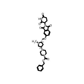 CN1C[C@H](N2CCN(C(=O)OCc3ccccc3)CC2)C[C@H]1COc1ccc2c(c1)C(=O)N(C1CCC(=O)NC1=O)C2=O